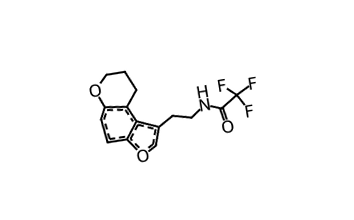 O=C(NCCc1coc2ccc3c(c12)CCCO3)C(F)(F)F